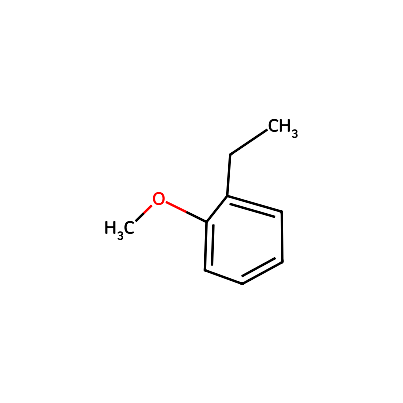 CCc1ccccc1OC